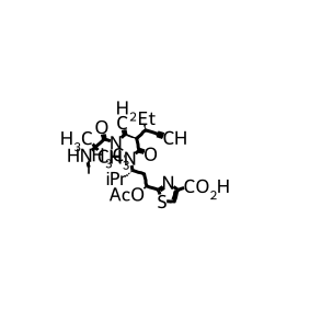 C#C[C@@H](CC)[C@H](C(=C)NC(=O)C(C)(C)NI)C(=O)N(C)[C@H](C[C@@H](OC(C)=O)c1nc(C(=O)O)cs1)C(C)C